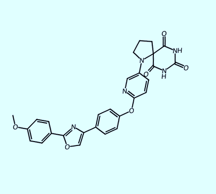 COc1ccc(-c2nc(-c3ccc(Oc4ccc(N5CCCC56C(=O)NC(=O)NC6=O)cn4)cc3)co2)cc1